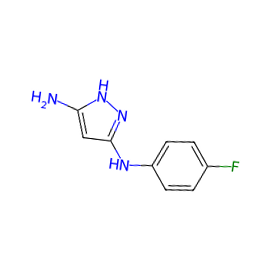 Nc1cc(Nc2ccc(F)cc2)n[nH]1